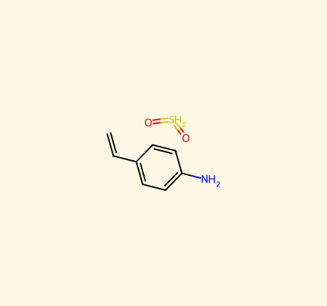 C=Cc1ccc(N)cc1.O=[SH2]=O